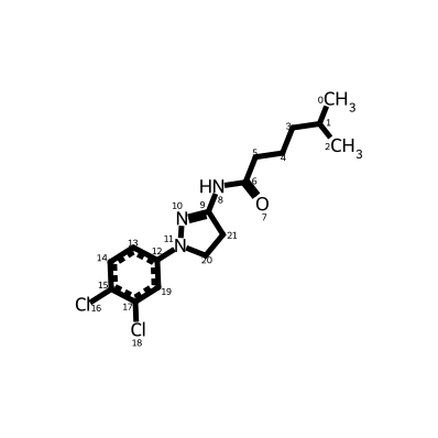 CC(C)CCCC(=O)NC1=NN(c2ccc(Cl)c(Cl)c2)CC1